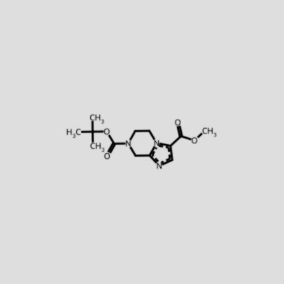 COC(=O)c1cnc2n1CCN(C(=O)OC(C)(C)C)C2